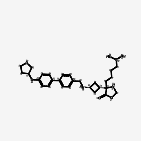 O=C1OCNC1(CCCCB(O)O)[C@H]1C[C@@H](NCc2ccc(-c3ccc(OC4CCOC4)cc3)cc2)C1